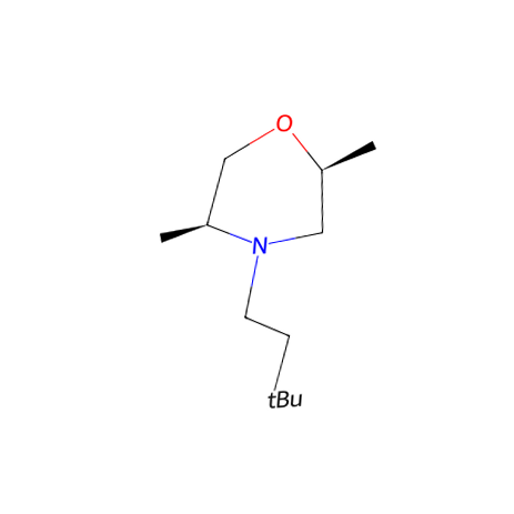 C[C@H]1CN(CCC(C)(C)C)[C@@H](C)CO1